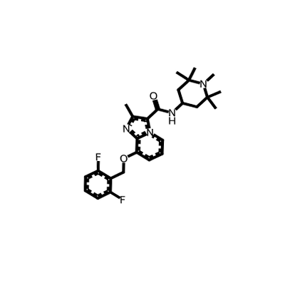 Cc1nc2c(OCc3c(F)cccc3F)cccn2c1C(=O)NC1CC(C)(C)N(C)C(C)(C)C1